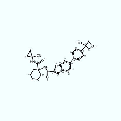 N#CC1(NC(=O)C2(NC(=O)c3cc4ncc(-c5ccc(C6(O)COC6)cc5)nc4o3)CCCCC2)CC1